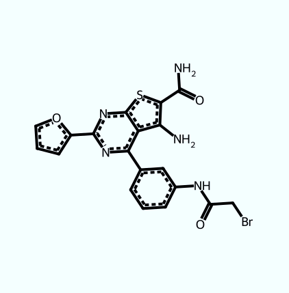 NC(=O)c1sc2nc(-c3ccco3)nc(-c3cccc(NC(=O)CBr)c3)c2c1N